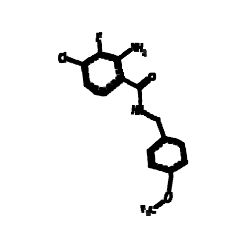 Nc1c(C(=O)NCc2ccc(OC(F)(F)F)cc2)ccc(Cl)c1F